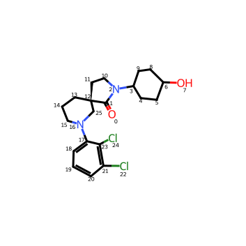 O=C1N(C2CCC(O)CC2)CC[C@@]12CCCN(c1cccc(Cl)c1Cl)C2